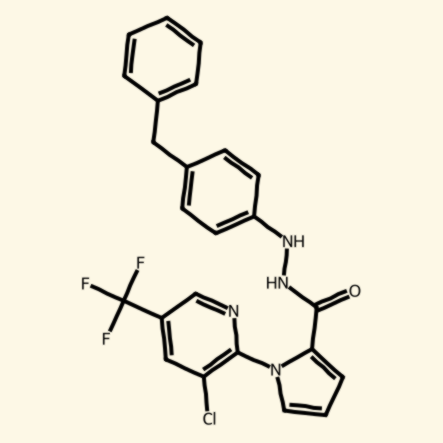 O=C(NNc1ccc(Cc2ccccc2)cc1)c1cccn1-c1ncc(C(F)(F)F)cc1Cl